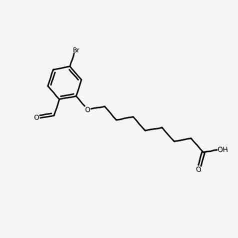 O=Cc1ccc(Br)cc1OCCCCCCCC(=O)O